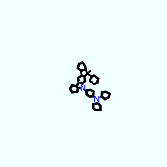 CC1(c2ccccc2)c2ccccc2-c2cc3c4ccccc4n(-c4ccc(N(c5ccccc5)c5ccccc5)cc4)c3cc21